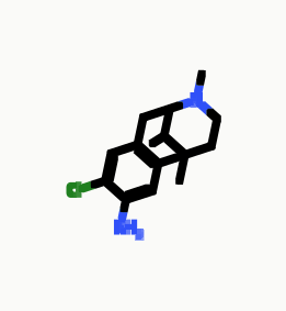 CC1C2Cc3cc(Cl)c(N)cc3C1(C)CCN2C